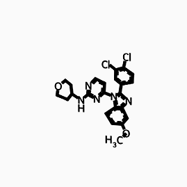 COc1ccc2c(c1)nc(-c1ccc(Cl)c(Cl)c1)n2-c1ccnc(NC2CCOCC2)n1